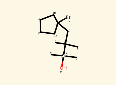 CCC1(CC(C)(C)[Si](C)(C)O)CCCC1